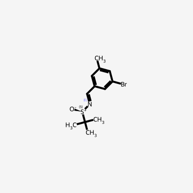 Cc1cc(Br)cc(/C=N/[S@+]([O-])C(C)(C)C)c1